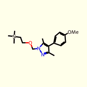 COc1ccc(-c2c(C)nn(COCC[Si](C)(C)C)c2C)cc1